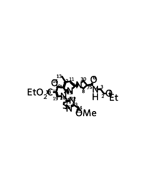 CCOCCNC(=O)C1CN(c2cc(C)c3c(=O)c(C(=O)OCC)cn(-c4nc(COC)ns4)c3n2)C1